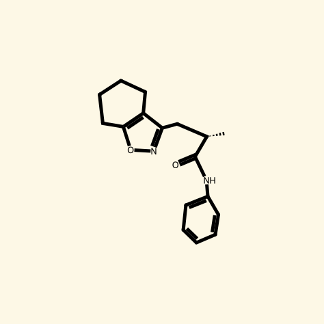 C[C@@H](Cc1noc2c1CCCC2)C(=O)Nc1ccccc1